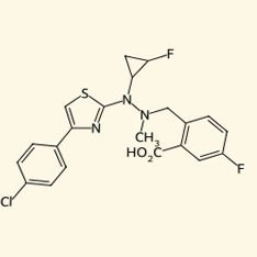 CN(Cc1ccc(F)cc1C(=O)O)N(c1nc(-c2ccc(Cl)cc2)cs1)C1CC1F